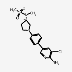 CN([C@H]1CCN(c2ccc(-c3cnc(N)c(Cl)c3)cc2)C1)S(C)(=O)=O